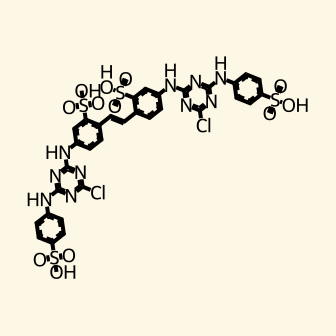 O=S(=O)(O)c1ccc(Nc2nc(Cl)nc(Nc3ccc(C=Cc4ccc(Nc5nc(Cl)nc(Nc6ccc(S(=O)(=O)O)cc6)n5)cc4S(=O)(=O)O)c(S(=O)(=O)O)c3)n2)cc1